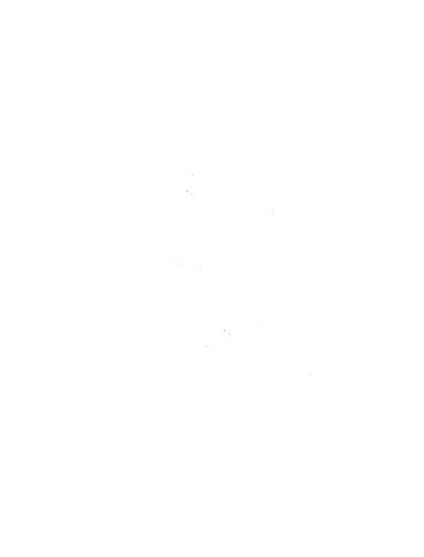 CC1=C(C)C2C(=C1C)c1cc(Cc3cc4c(cc3C)N(Br)C3C(C)=C(C)C(C)=C43)c(C)cc1N2Br